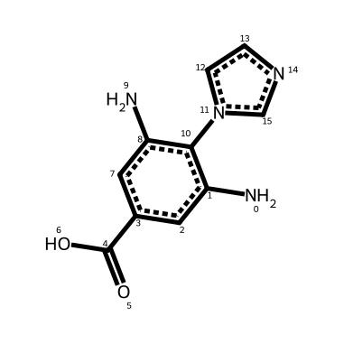 Nc1cc(C(=O)O)cc(N)c1-n1ccnc1